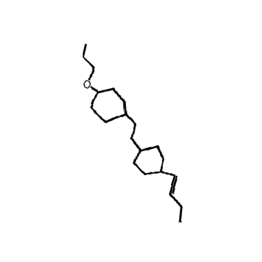 CCC=CC1CCC(CCC2CCC(OCCC)CC2)CC1